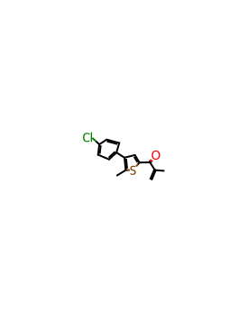 C=C(C)C(=O)c1cc(-c2ccc(Cl)cc2)c(C)s1